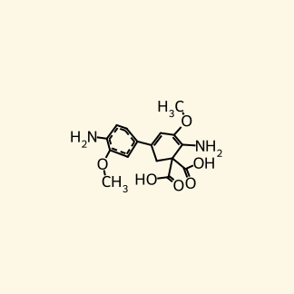 COC1=C(N)C(C(=O)O)(C(=O)O)CC(c2ccc(N)c(OC)c2)=C1